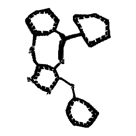 c1ccc(Sc2ncnc3c2N=C(c2ccccc2)c2ccccc2S3)cc1